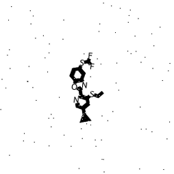 CCSc1cc(C2CC2)cnc1-c1nc2cc(SC(F)F)ccc2o1